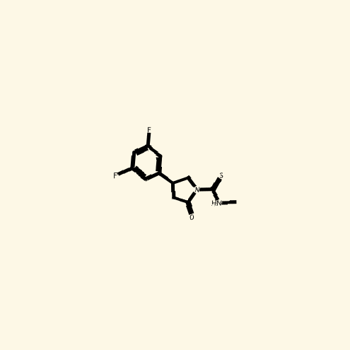 CNC(=S)N1CC(c2cc(F)cc(F)c2)CC1=O